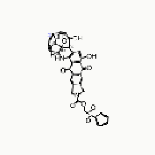 C[C@@H](O)[C@@]12O[C@]13c1cc(O)c4c(c1N[C@H]2C#C/C=C\C#C[C@H]3O)C(=O)c1cc2c(cc1C4=O)CN(C(=O)OCS(=O)(=O)c1ccccc1)C2